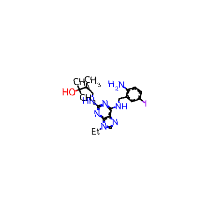 CCn1cnc2c(NCc3cc(I)ccc3N)nc(NCC(C)C(C)(C)O)nc21